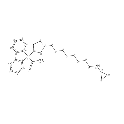 NC(=O)C(c1ccccc1)(c1ccccc1)C1CCN(CCCCCCCCNC2CC2)C1